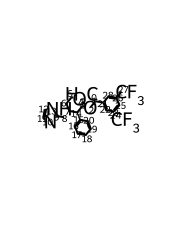 CC(OC1OCC[C@@H](Cc2ncc[nH]2)[C@@H]1c1ccccc1)c1cc(C(F)(F)F)cc(C(F)(F)F)c1